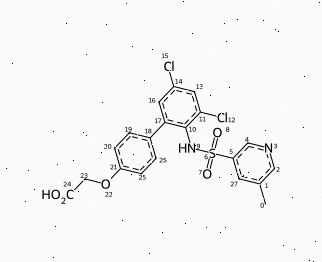 Cc1cncc(S(=O)(=O)Nc2c(Cl)cc(Cl)cc2-c2ccc(OCC(=O)O)cc2)c1